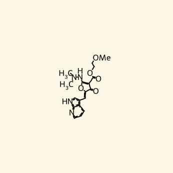 COCCOC(=O)C1=C(NN(C)C)OC(=Cc2c[nH]c3ncccc23)C1=O